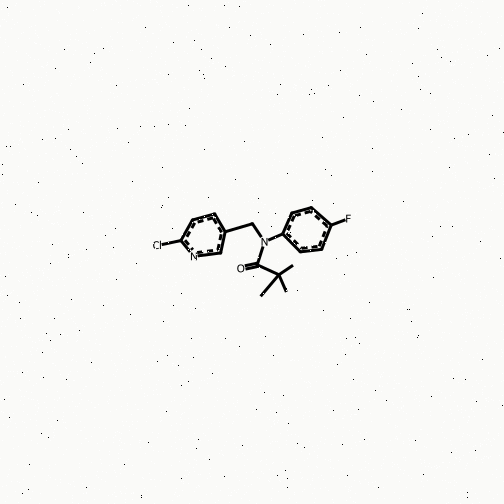 CC(C)(C)C(=O)N(Cc1ccc(Cl)nc1)c1ccc(F)cc1